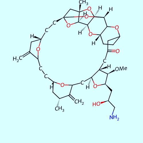 C=C1C[C@@H]2CC[C@@]34C[C@]5(C)O[C@@H]6[C@@H](O[C@H]7CCC(CC(=O)C[C@@H]8[C@@H](OC)[C@@H](C[C@H](O)CN)O[C@H]8CC8O[C@@H](CCC1O2)C[C@@H](C)C8=C)OC7[C@@H]6O3)[C@H]5O4